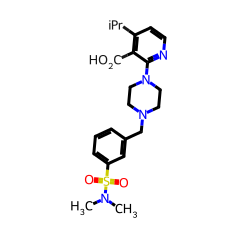 CC(C)c1ccnc(N2CCN(Cc3cccc(S(=O)(=O)N(C)C)c3)CC2)c1C(=O)O